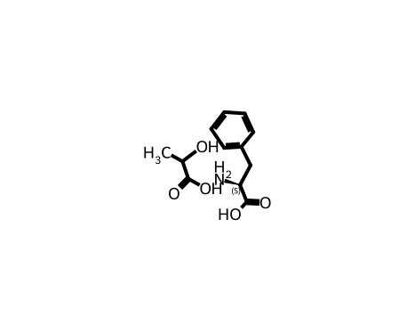 CC(O)C(=O)O.N[C@@H](Cc1ccccc1)C(=O)O